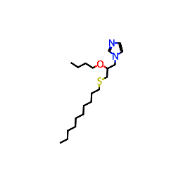 CCCCCCCCCCSCC(Cn1ccnc1)OCCCC